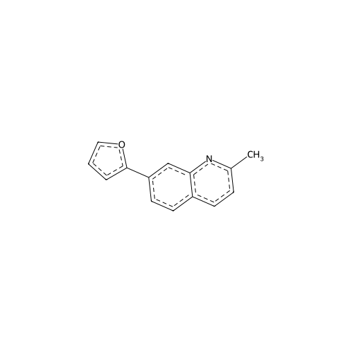 Cc1ccc2ccc(-c3ccco3)cc2n1